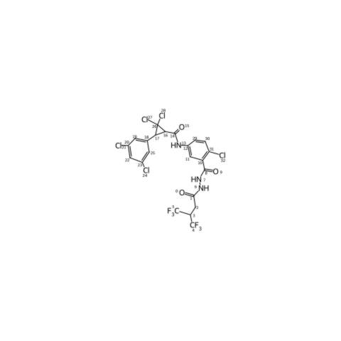 O=C(CC(C(F)(F)F)C(F)(F)F)NNC(=O)c1cc(NC(=O)C2C(c3cc(Cl)cc(Cl)c3)C2(Cl)Cl)ccc1Cl